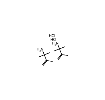 C=C(C)C(C)(C)N.C=C(C)C(C)(C)N.Cl.Cl